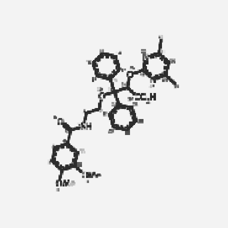 COc1ccc(C(=O)NCCOC(c2ccccc2)(c2ccccc2)C(Oc2nc(C)cc(C)n2)C(=O)O)cc1OC